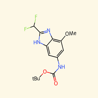 COc1cc(NC(=O)OC(C)(C)C)cc2[nH]c(C(F)F)nc12